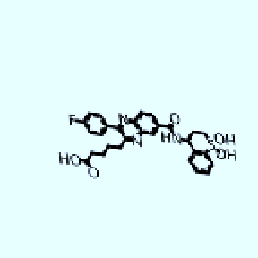 O=C(O)CCCCc1nc2cc(C(=O)NC3CCS(O)(O)c4ccccc43)ccc2nc1-c1ccc(F)cc1